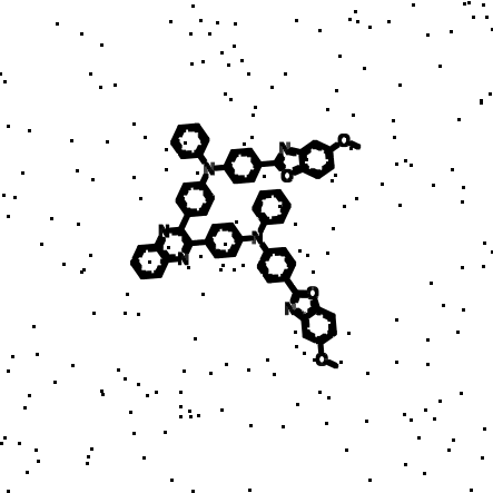 COc1ccc2oc(-c3ccc(N(c4ccccc4)c4ccc(-c5nc6ccccc6nc5-c5ccc(N(c6ccccc6)c6ccc(-c7nc8cc(OC)ccc8o7)cc6)cc5)cc4)cc3)nc2c1